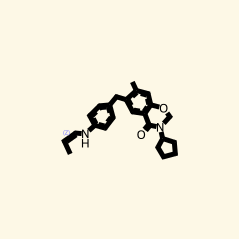 C/C=C\Nc1ccc(Cc2cc3c(cc2C)OCN(C2CCCC2)C3=O)cc1